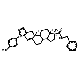 CO[C@]1(C(=O)NCc2ccccc2)CCC2C3CCC4=Cc5c(cnn5-c5ccc([N+](=O)[O-])cc5)CC4(C)C3CCC21C